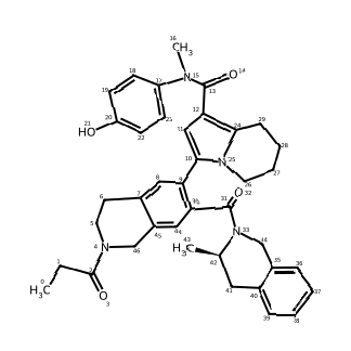 CCC(=O)N1CCc2cc(-c3cc(C(=O)N(C)c4ccc(O)cc4)c4n3CCCC4)c(C(=O)N3Cc4ccccc4C[C@H]3C)cc2C1